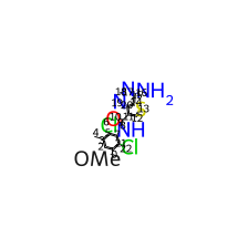 COc1cc(C)c(Cl)c(NC(=O)c2csc3c(N)ncnc23)c1Cl